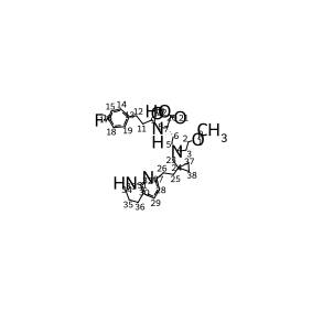 COCCN(CC[C@H](NC(=O)CCc1ccc(F)cc1)C(=O)O)CC1(CCc2ccc3c(n2)NCCC3)CC1